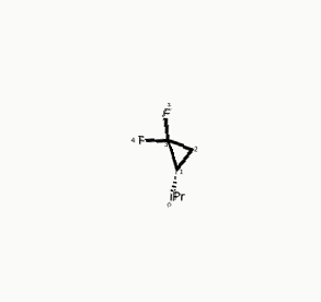 CC(C)[C@H]1CC1(F)F